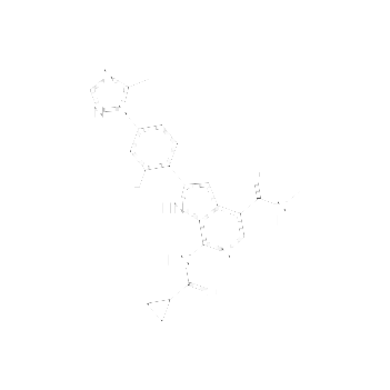 CNC(=O)c1cnc(NC(=O)C2CC2)c2[nH]c(-c3ccc(-n4ncnc4C)cc3F)cc12